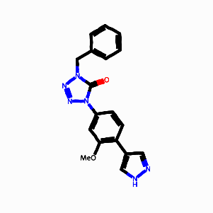 COc1cc(-n2nnn(Cc3ccccc3)c2=O)ccc1-c1cn[nH]c1